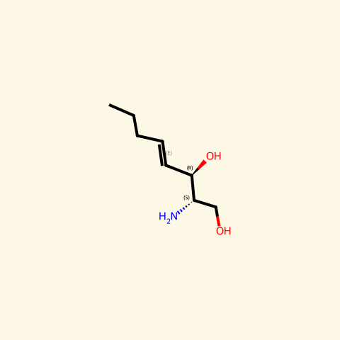 CCC/C=C/[C@@H](O)[C@@H](N)CO